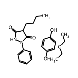 CCCCC1C(=O)NN(c2ccccc2)C1=O.CCOCC.Oc1ccc(O)cc1